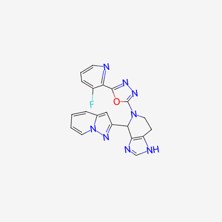 Fc1cccnc1-c1nnc(N2CCc3[nH]cnc3C2c2cc3ccccn3n2)o1